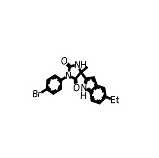 CCc1ccc2[nH]c(C3(C)NC(=O)N(c4ccc(Br)cc4)C3=O)cc2c1